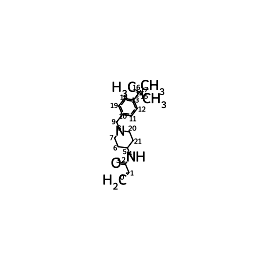 C=CC(=O)NC1CCN(Cc2ccc(C(C)(C)C)cc2)CC1